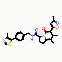 CC1=C2CCC(C(=O)NCc3ccc(-c4scnc4C)cc3)N2C(=O)C(c2cc(C)no2)C1C